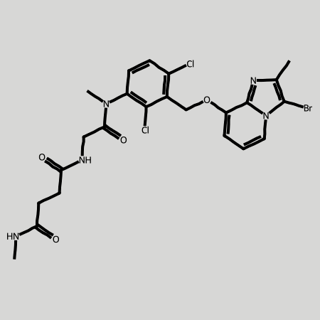 CNC(=O)CCC(=O)NCC(=O)N(C)c1ccc(Cl)c(COc2cccn3c(Br)c(C)nc23)c1Cl